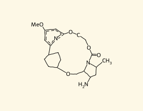 COc1cc2nc(c1)C1CCC(CC1)OCC1C(N)CC(C)N1C(=O)OCCO2